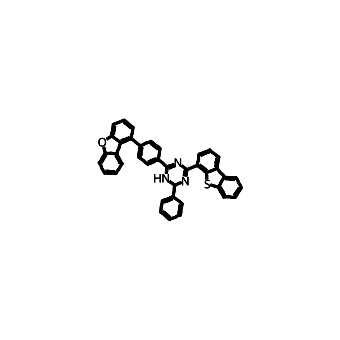 c1ccc(C2N=C(c3cccc4c3sc3ccccc34)N=C(c3ccc(-c4cccc5oc6ccccc6c45)cc3)N2)cc1